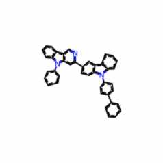 c1ccc(-c2ccc(-n3c4ccccc4c4cc(-c5cc6c(cn5)c5ccccc5n6-c5ccccc5)ccc43)cc2)cc1